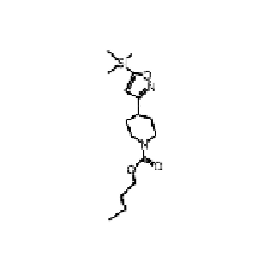 CCCCOC(=O)N1CCC(c2cc([Si](C)(C)C)on2)CC1